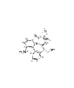 CC(C)CC1C(=O)N(C(=O)[C@H](C)N)c2cccc(N)c2-c2ccccc21